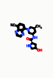 C[C@H]1C[C@@H](NC(=O)[C@@H]2CC(O)CN2)CN(c2ccc(C#N)c3nccnc23)C1